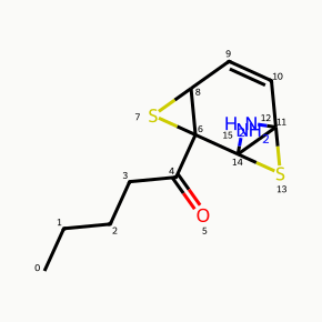 CCCCC(=O)C12SC1C=CC1(N)SC12N